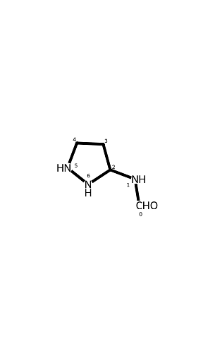 O=CNC1CCNN1